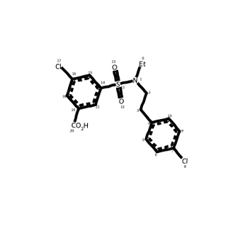 CCN(CCc1ccc(Cl)cc1)S(=O)(=O)c1cc(Cl)cc(C(=O)O)c1